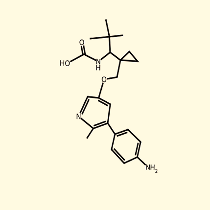 Cc1ncc(OCC2(C(NC(=O)O)C(C)(C)C)CC2)cc1-c1ccc(N)cc1